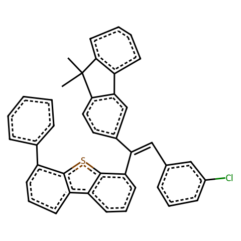 CC1(C)c2ccccc2-c2cc(/C(=C/c3cccc(Cl)c3)c3cccc4c3sc3c(-c5ccccc5)cccc34)ccc21